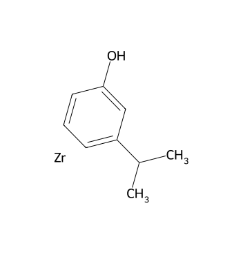 CC(C)c1cccc(O)c1.[Zr]